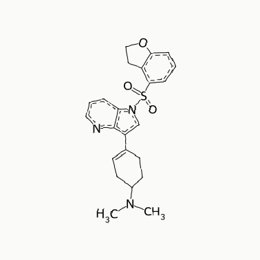 CN(C)C1CC=C(c2cn(S(=O)(=O)c3cccc4c3CCO4)c3cccnc23)CC1